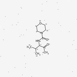 CC(=O)C(NC(=O)N1CCOCC1)C(C)C